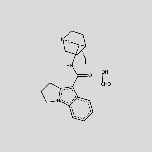 O=C(N[C@H]1CN2CCC1CC2)c1c2n(c3ccccc13)CCC2.O=CO